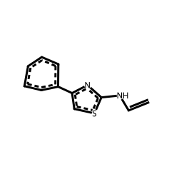 C=CNc1nc(-c2ccccc2)cs1